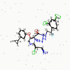 N=C/C(Cl)=C1/N=CC(Oc2cccc(C3CC3)c2)=C(C(=O)NCC(F)c2ccc(Cl)cc2Cl)N1